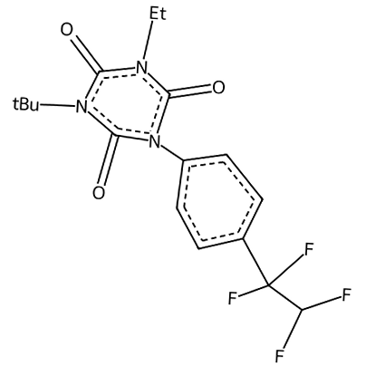 CCn1c(=O)n(-c2ccc(C(F)(F)C(F)F)cc2)c(=O)n(C(C)(C)C)c1=O